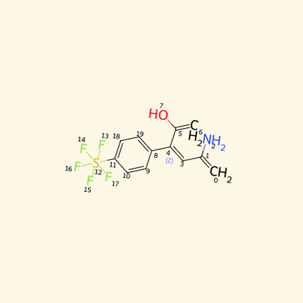 C=C(N)/C=C(\C(=C)O)c1ccc(S(F)(F)(F)(F)F)cc1